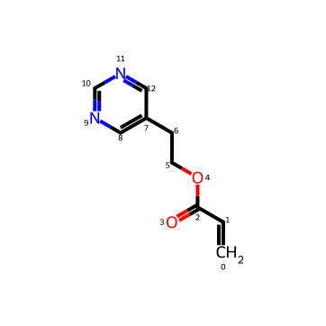 C=CC(=O)OCCc1cncnc1